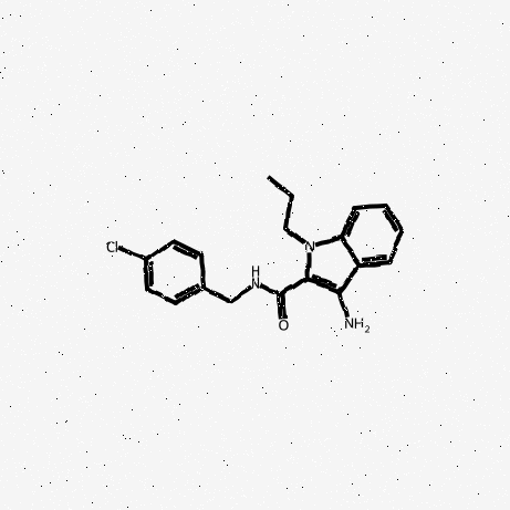 CCCn1c(C(=O)NCc2ccc(Cl)cc2)c(N)c2ccccc21